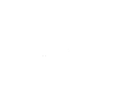 CCOc1ccc[c]c1Sc1cccc2ccccc12